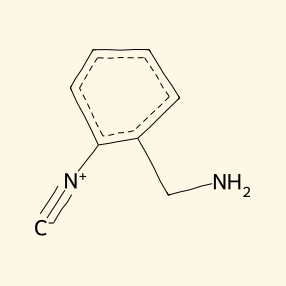 [C-]#[N+]c1ccccc1CN